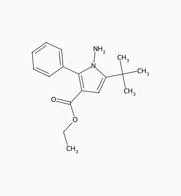 CCOC(=O)c1cc(C(C)(C)C)n(N)c1-c1ccccc1